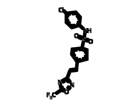 O=S(=O)(Nc1ccc(Cl)cc1)c1ccc(C=Cc2noc(C(F)(F)F)n2)cc1